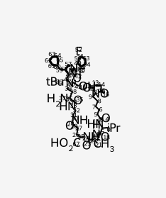 CC(C)C(NC(=O)CCCCCN1C(=O)C=CC1=O)C(=O)N[C@@H](C)C(=O)N[C@@H](CCC(=O)NCCNC(=O)[C@@H](N)CCN(C(=O)CO)[C@@H](c1nn(-c2cc(F)ccc2F)cc1Cc1ccccc1)C(C)(C)C)C(=O)O